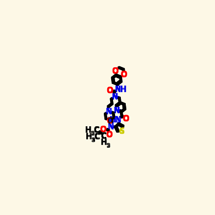 CC(C)(C)OC(=O)Nc1cscc1NC(=O)c1ccc(CN(CCCN2CCOCC2)C(=O)Nc2ccc3c(c2)OCCO3)cn1